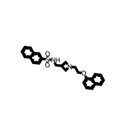 O=S(=O)(NCC1CN(CCOc2cccc3ccccc23)C1)c1ccc2ccccc2c1